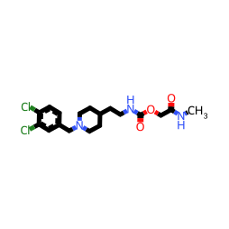 CNC(=O)COC(=O)NCCC1CCN(Cc2ccc(Cl)c(Cl)c2)CC1